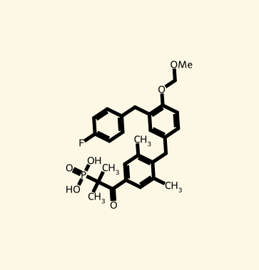 COCOc1ccc(Cc2c(C)cc(C(=O)C(C)(C)P(=O)(O)O)cc2C)cc1Cc1ccc(F)cc1